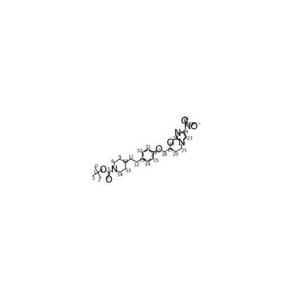 CC(C)(C)OC(=O)N1CCC(CCc2ccc(OCC3CCn4cc([N+](=O)[O-])nc4O3)cc2)CC1